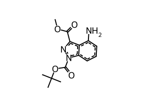 COC(=O)c1nn(C(=O)OC(C)(C)C)c2cccc(N)c12